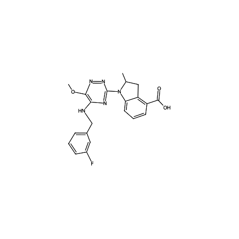 COc1nnc(N2c3cccc(C(=O)O)c3CC2C)nc1NCc1cccc(F)c1